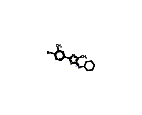 Cc1cc(-c2nn(C)/c(=N\C3CCCCC3)s2)ccc1Br